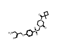 CC1(C(=O)N2CCN(CS(=O)(=O)c3ccc(OCC(=CF)CN)cc3)C(=O)C2)CCC1